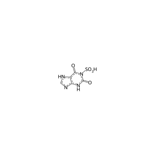 O=c1[nH]c2nc[nH]c2c(=O)n1S(=O)(=O)O